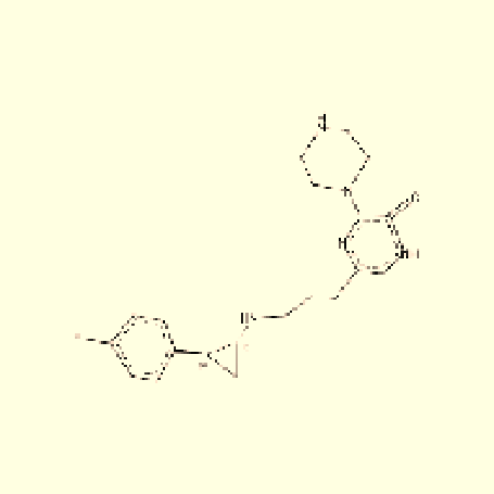 O=c1[nH]cc(CCCN[C@@H]2C[C@H]2c2ccc(F)cc2)nc1N1CCNCC1